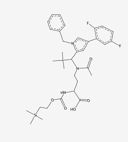 CC(=O)N(CCC(NC(=O)OCC[Si](C)(C)C)C(=O)O)C(c1cc(-c2cc(F)ccc2F)cn1Cc1ccccc1)C(C)(C)C